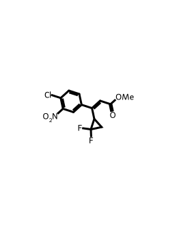 COC(=O)/C=C(/c1ccc(Cl)c([N+](=O)[O-])c1)C1CC1(F)F